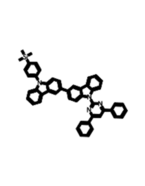 C[Si](C)(C)c1ccc(-n2c3ccccc3c3cc(-c4ccc5c(c4)c4ccccc4n5-c4nc(-c5ccccc5)cc(-c5ccccc5)n4)ccc32)cc1